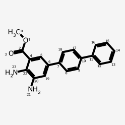 COC(=O)c1cc(-c2ccc(-c3ccccc3)cc2)cc(N)c1N